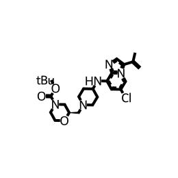 C=C(C)c1cnc2c(NC3CCN(C[C@@H]4CN(C(=O)OC(C)(C)C)CCO4)CC3)cc(Cl)cn12